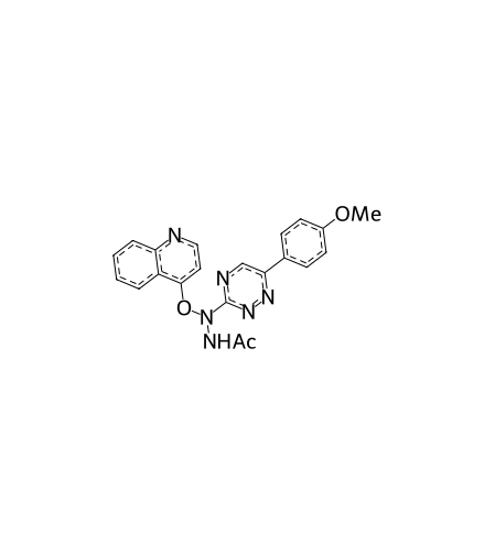 COc1ccc(-c2cnc(N(NC(C)=O)Oc3ccnc4ccccc34)nn2)cc1